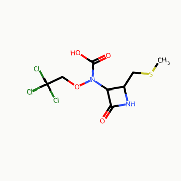 CSCC1NC(=O)C1N(OCC(Cl)(Cl)Cl)C(=O)O